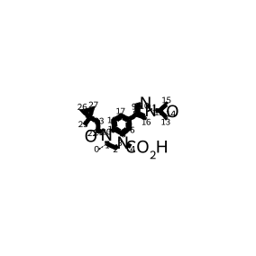 C[C@H]1CN(C(=O)O)c2cc(-c3cnn(C4COC4)c3)ccc2N1C(=O)CC1(C)CC1